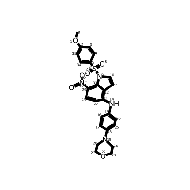 COc1ccc(S(=O)(=O)n2ccc3c(Nc4ccc(N5CCOCC5)cc4)ccc([N+](=O)[O-])c32)cc1